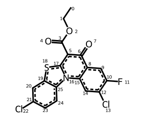 CCOC(=O)c1c(=O)c2cc(F)c(Cl)cc2n2c1sc1cc(Cl)ccc12